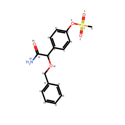 CS(=O)(=O)Oc1ccc(C(OCc2ccccc2)C(N)=O)cc1